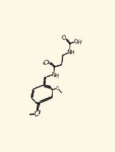 COc1ccc(CNC(=O)CCNC(=O)O)c(OC)c1